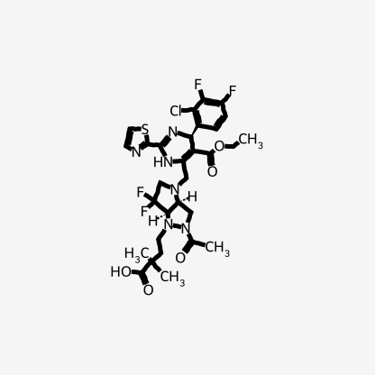 CCOC(=O)C1=C(CN2CC(F)(F)[C@H]3[C@@H]2CN(C(C)=O)N3CCC(C)(C)C(=O)O)NC(c2nccs2)=N[C@H]1c1ccc(F)c(F)c1Cl